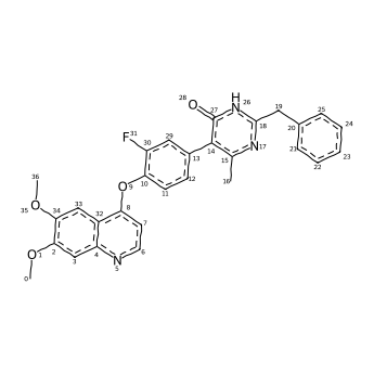 COc1cc2nccc(Oc3ccc(-c4c(C)nc(Cc5ccccc5)[nH]c4=O)cc3F)c2cc1OC